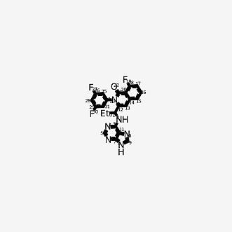 CCC(Nc1ncnc2[nH]cnc12)c1cc2cccc(F)c2c(=O)n1-c1cc(F)cc(F)c1